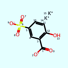 O=C([O-])c1cc(S(=O)(=O)[O-])ccc1O.[K+].[K+]